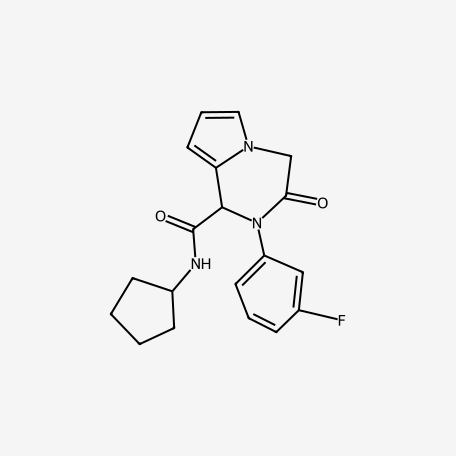 O=C(NC1CCCC1)C1c2cccn2CC(=O)N1c1cccc(F)c1